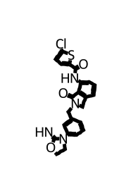 N=C1OCCN1c1cccc(CN2Cc3cccc(NC(=O)c4ccc(Cl)s4)c3C2=O)c1